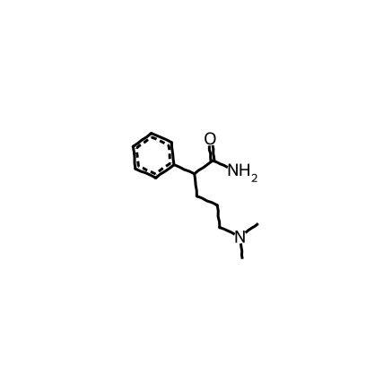 CN(C)CCCC(C(N)=O)c1ccccc1